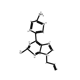 C=CCn1cnc2c(-c3cnc(N)cn3)nc(Cl)nc21